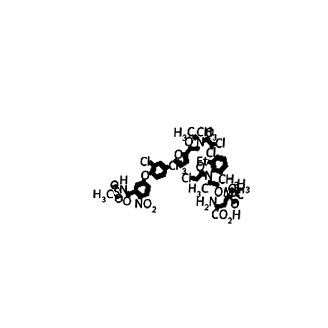 CC1(C)OC(c2ccco2)CN1C(=O)C(Cl)Cl.CCc1cccc(C)c1N(C(=O)CCl)C(C)COC.CP(=O)(O)CCC(N)C(=O)O.CS(=O)(=O)NC(=O)c1cc(Oc2ccc(C(F)(F)F)cc2Cl)ccc1[N+](=O)[O-]